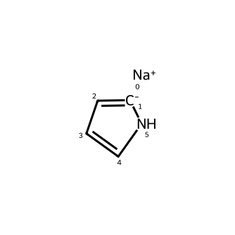 [Na+].[c-]1ccc[nH]1